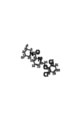 CC1CC(C)CN(C(=O)c2cccc(COc3c(Cl)cccc3Cl)n2)C1